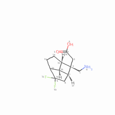 NC[C@@]1(CC(=O)O)[C@@H]2CC(F)(F)C3CC[C@H]1[C@@H]32